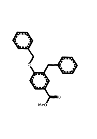 COC(=O)c1ccc(OCc2ccccc2)c(Cc2ccccc2)c1